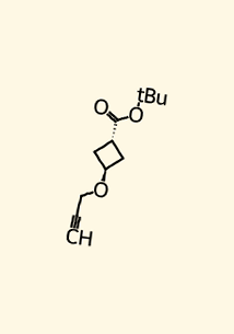 C#CCO[C@H]1C[C@H](C(=O)OC(C)(C)C)C1